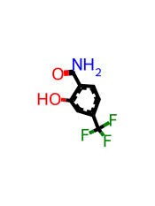 NC(=O)c1ccc(C(F)(F)F)cc1O